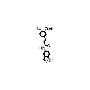 COc1cc(/C=C/C(=O)Nc2ccc3[nH]ncc3c2)ccc1O